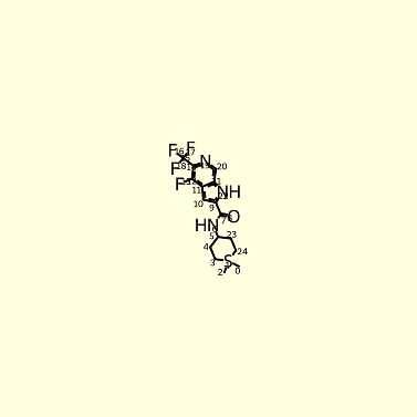 CS1(C)CCC(NC(=O)c2cc3c(F)c(C(F)(F)F)ncc3[nH]2)CC1